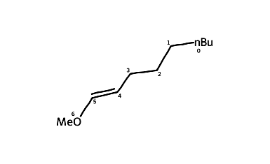 [CH2]CCCCCC/C=C/OC